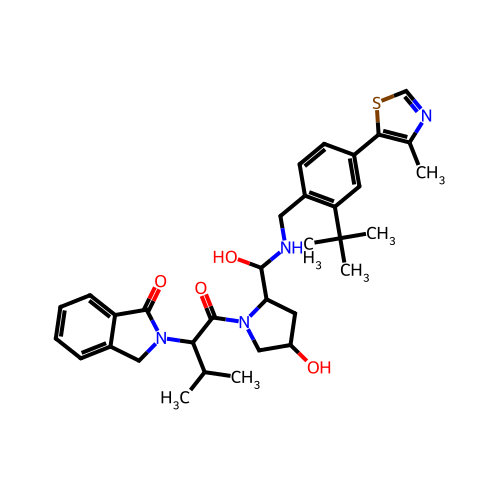 Cc1ncsc1-c1ccc(CNC(O)C2CC(O)CN2C(=O)C(C(C)C)N2Cc3ccccc3C2=O)c(C(C)(C)C)c1